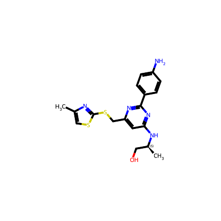 Cc1csc(SCc2cc(N[C@@H](C)CO)nc(-c3ccc(N)cc3)n2)n1